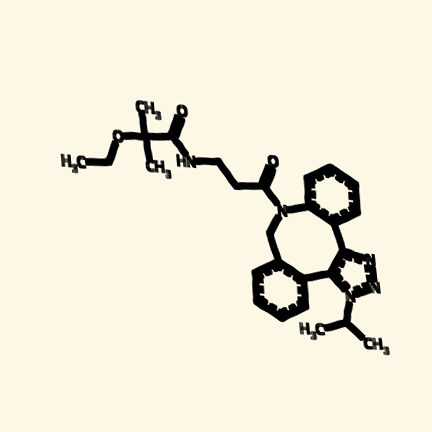 CCOC(C)(C)C(=O)NCCC(=O)N1Cc2ccccc2-c2c(nnn2C(C)C)-c2ccccc21